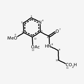 COc1ccnc(C(=O)NCCC(=O)O)c1OC(C)=O